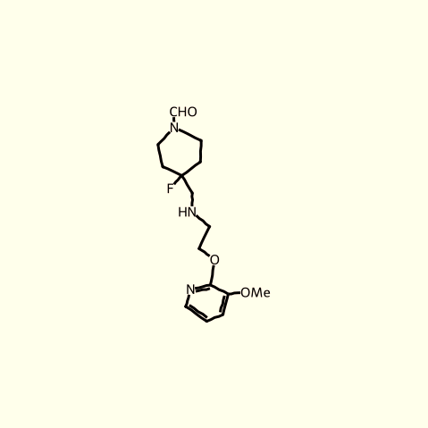 COc1cccnc1OCCNCC1(F)CCN(C=O)CC1